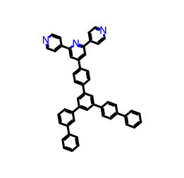 c1ccc(-c2ccc(-c3cc(-c4ccc(-c5cc(-c6ccncc6)nc(-c6ccncc6)c5)cc4)cc(-c4cccc(-c5ccccc5)c4)c3)cc2)cc1